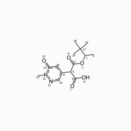 CC(OC(=O)C(C(=O)O)c1cnn(C)c(=O)c1)C(C)(C)C